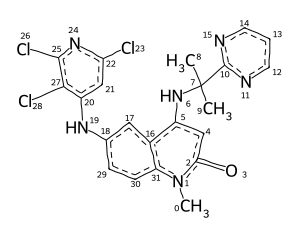 Cn1c(=O)cc(NC(C)(C)c2ncccn2)c2cc(Nc3cc(Cl)nc(Cl)c3Cl)ccc21